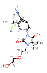 CC1(C)C(=O)N(c2ccc(C#N)c(C(F)(F)F)c2)C(=O)N1CCOCCO